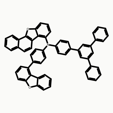 c1ccc(-c2cc(-c3ccccc3)cc(-c3ccc(N(c4ccc(-c5cccc6oc7ccccc7c56)cc4)c4cccc5oc6c7ccccc7ccc6c45)cc3)c2)cc1